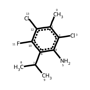 Cc1c(Cl)c(N)c(C(C)C)c(F)c1Cl